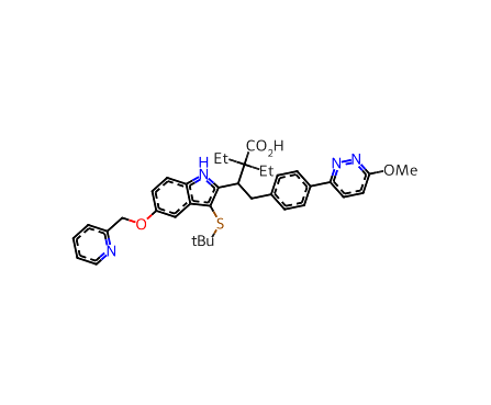 CCC(CC)(C(=O)O)C(Cc1ccc(-c2ccc(OC)nn2)cc1)c1[nH]c2ccc(OCc3ccccn3)cc2c1SC(C)(C)C